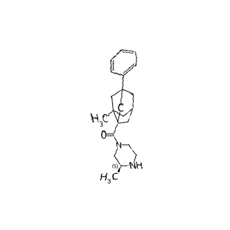 C[C@H]1CN(C(=O)C23CC4CC(c5ccccc5)(CC2(C)C4)C3)CCN1